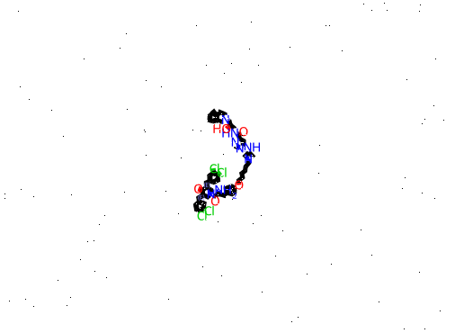 NC(Cc1ccc(OCCCCCCN2CC(Nc3cc(C(=O)NCC(O)CN4CCc5ccccc5C4)ncn3)C2)cc1)C(=O)N1C/C(=C\c2ccc(Cl)c(Cl)c2)C(=O)/C(=C/c2ccc(Cl)c(Cl)c2)C1